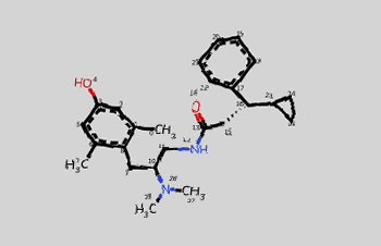 Cc1cc(O)cc(C)c1C[C@@H](CNC(=O)C[C@H](c1ccccc1)C1CC1)N(C)C